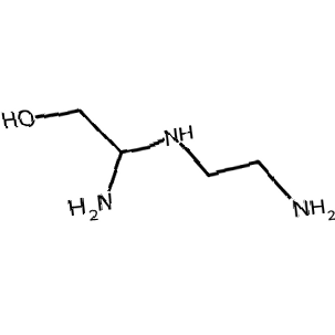 NCCNC(N)CO